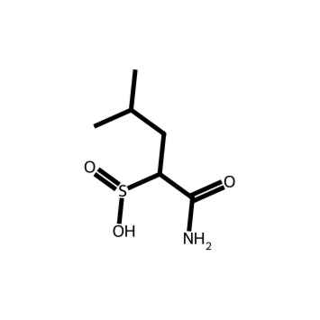 CC(C)CC(C(N)=O)S(=O)O